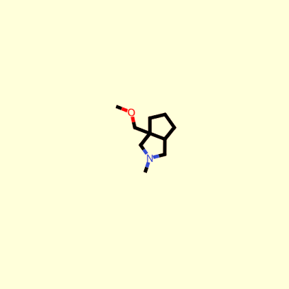 COCC12CCCC1CN(C)C2